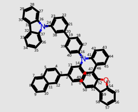 c1cc(-c2ccc3ccccc3c2)cc(N(c2ccc(-c3cccc(-n4c5ccccc5c5ccccc54)c3)cc2)c2ccccc2-c2cccc3c2oc2ccccc23)c1